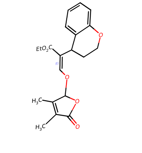 CCOC(=O)/C(=C/OC1OC(=O)C(C)=C1C)C1CCOc2ccccc21